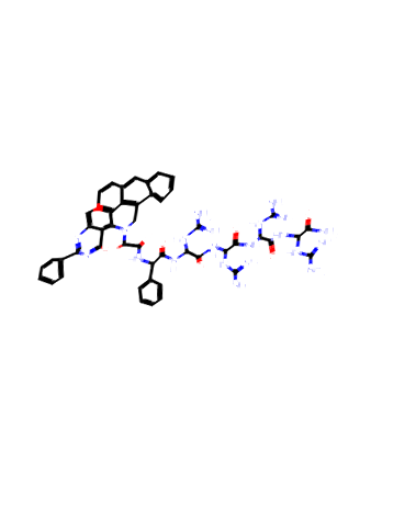 N=C(N)NC(NC(=O)C(NC(=N)N)NC(=O)C(NC(=N)N)NC(=O)C(NC(=N)N)NC(=O)C(NC(=O)C(O)N(Cc1c2ccccc2cc2ccccc12)c1cccc2nc(-c3ccccc3)ncc12)c1ccccc1)C(N)=O